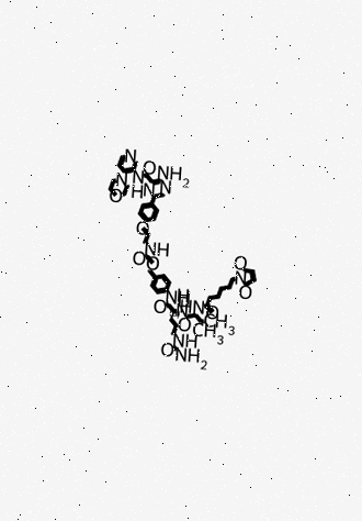 CC(C)C(NC(=O)CCCCCN1C(=O)C=CC1=O)C(=O)N[C@@H](CCCNC(N)=O)C(=O)Nc1ccc(COC(=O)NCCOc2ccc(-c3cnc(N)c(C(=O)Nc4cnccc4N4CCOCC4)n3)cc2)cc1